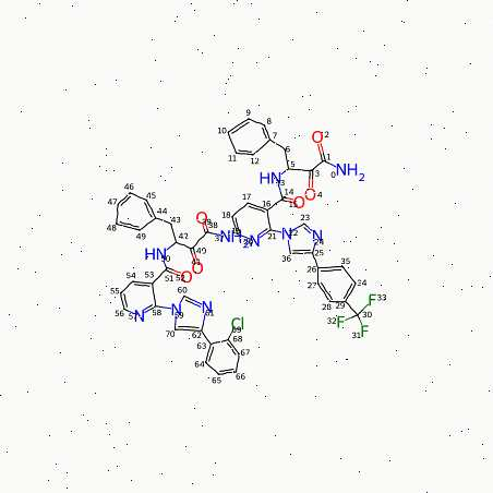 NC(=O)C(=O)C(Cc1ccccc1)NC(=O)c1cccnc1-n1cnc(-c2ccc(C(F)(F)F)cc2)c1.NC(=O)C(=O)C(Cc1ccccc1)NC(=O)c1cccnc1-n1cnc(-c2ccccc2Cl)c1